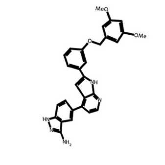 COc1cc(COc2cccc(-c3cc4c(-c5ccc6[nH]nc(N)c6c5)ccnc4[nH]3)c2)cc(OC)c1